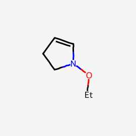 CCON1C=CCC1